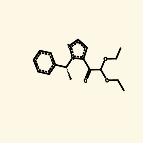 CCOC(OCC)C(=O)c1ccnn1[C@H](C)c1ccccc1